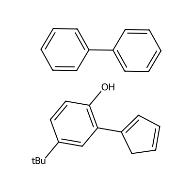 CC(C)(C)c1ccc(O)c(C2=CC=CC2)c1.c1ccc(-c2ccccc2)cc1